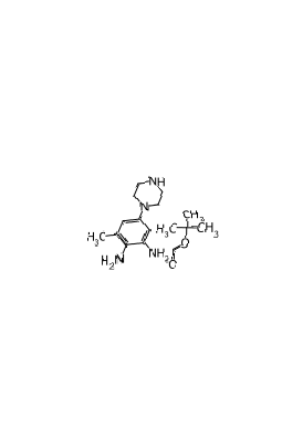 CC(C)(C)OC=O.Cc1cc(N2CCNCC2)cc(N)c1N